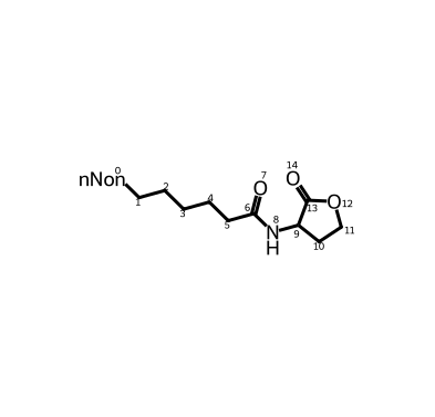 CCCCCCCCCCCCCCC(=O)NC1CCOC1=O